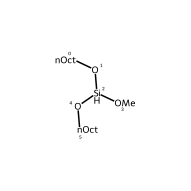 CCCCCCCCO[SiH](OC)OCCCCCCCC